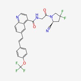 N#C[C@@H]1CC(F)(F)CN1C(=O)CNC(=O)c1ccnc2ccc(/C=C/c3ccc(OC(F)(F)F)cc3)cc12